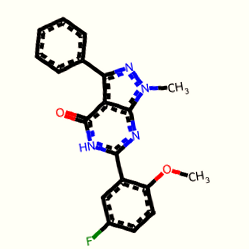 COc1ccc(F)cc1-c1nc2c(c(-c3ccccc3)nn2C)c(=O)[nH]1